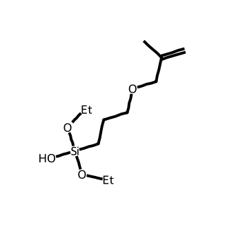 C=C(C)COCCC[Si](O)(OCC)OCC